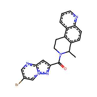 CC1c2ccc3ncccc3c2CCN1C(=O)c1cc2ncc(Br)cn2n1